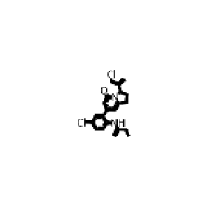 C=C(CC)Nc1ccc(Cl)cc1-c1cc2n(c(=O)c1)C(C(=C)CCl)CC2